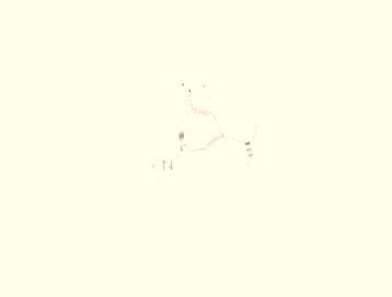 O=C(F)c1cc([N+](=O)[O-])cc([N+](=O)[O-])c1